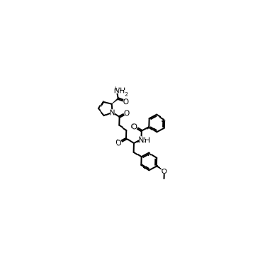 COc1ccc(CC(NC(=O)c2ccccc2)C(=O)CCC(=O)N2CCC[C@H]2C(N)=O)cc1